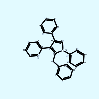 c1ccc(Cc2c(-c3ccccn3)c(-c3ccccc3)cn2-c2ccccc2)cc1